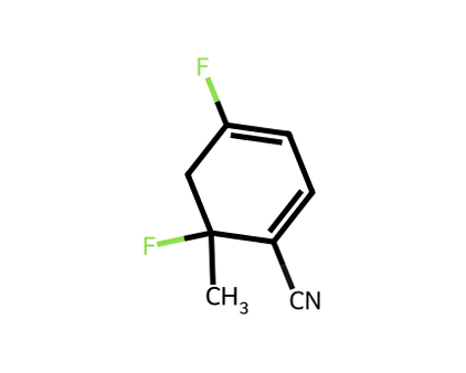 CC1(F)CC(F)=CC=C1C#N